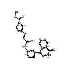 CC(C)(C)OC(=O)n1cnc(C=CC(=O)Nc2cccc(-c3n[nH]c(=O)c4ccccc34)c2)c1